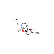 CCOC12CCC(=O)C[C@@]13CCN(CC1CC1)[C@@H]2Cc1ccc(OC)cc13